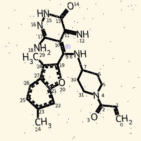 C=CC(=O)N1CCC(N/C(=C2\C(=N)C(=O)NN=C2N)c2oc3cc(C)ccc3c2C)CC1